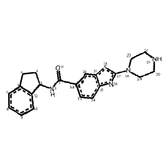 O=C(NC1CCc2ccccc21)c1ccc2nc(N3CCNCC3)sc2c1